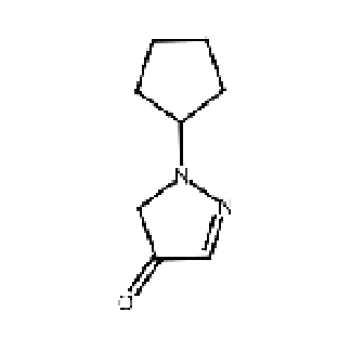 O=C1C=NN(C2CCCC2)C1